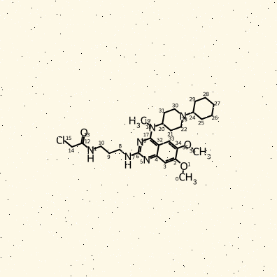 COc1cc2nc(NCCCNC(=O)CCl)nc(N(C)C3CCN(C4CCCCC4)CC3)c2cc1OC